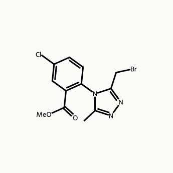 COC(=O)c1cc(Cl)ccc1-n1c(C)nnc1CBr